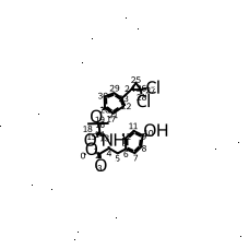 COC(=O)C(Cc1ccc(O)cc1)NC(=O)C(C)(C)Oc1ccc(C2CC2(Cl)Cl)cc1